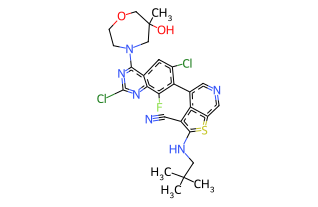 CC(C)(C)CNc1sc2cncc(-c3c(Cl)cc4c(N5CCOCC(C)(O)C5)nc(Cl)nc4c3F)c2c1C#N